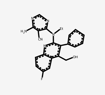 CCN(c1ncnc(N)c1C#N)c1nc2ccc(F)cc2c(CO)c1-c1ccccc1